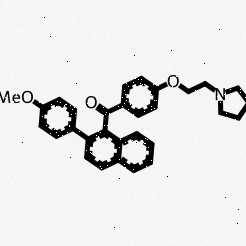 COc1ccc(-c2ccc3ccccc3c2C(=O)c2ccc(OCCN3CCCC3)cc2)cc1